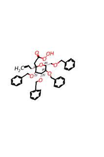 C=CC[C@]1(CC(=O)OO)O[C@H](COCc2ccccc2)[C@@H](OCc2ccccc2)[C@H](OCc2ccccc2)[C@@H]1OCc1ccccc1